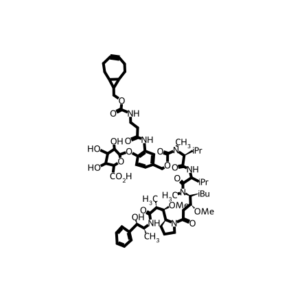 CC[C@H](C)[C@@H]([C@@H](CC(=O)N1CCC[C@H]1[C@H](OC)[C@@H](C)C(=O)N[C@H](C)[C@@H](O)c1ccccc1)OC)N(C)C(=O)C(NC(=O)[C@H](C(C)C)N(C)C(=O)OCc1ccc(OC2OC(C(=O)O)C(O)C(O)C2O)c(NC(=O)CCNC(=O)OCC2C3CCC#CCCC32)c1)C(C)C